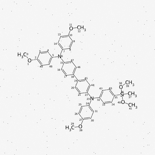 COc1ccc(N(c2ccc(OC)cc2)c2ccc(-c3ccc(N(c4ccc(OC)cc4)c4ccc([Si](C)(OC)OC)cc4)cc3)cc2)cc1